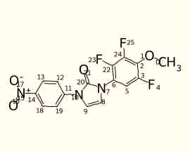 COc1c(F)cc(-n2ccn(-c3ccc([N+](=O)[O-])cc3)c2=O)c(F)c1F